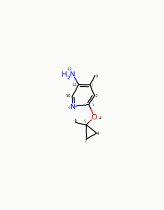 Cc1cc(OC2(C)CC2)ncc1N